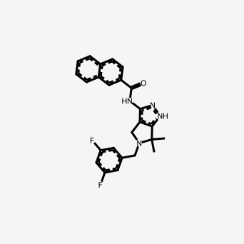 CC1(C)c2[nH]nc(NC(=O)c3ccc4ccccc4c3)c2CN1Cc1cc(F)cc(F)c1